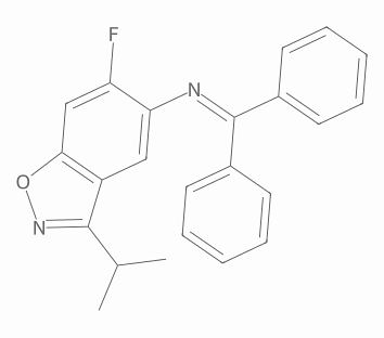 CC(C)c1noc2cc(F)c(N=C(c3ccccc3)c3ccccc3)cc12